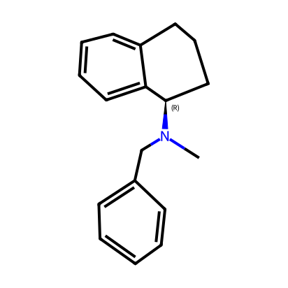 CN(Cc1ccccc1)[C@@H]1CCCc2ccccc21